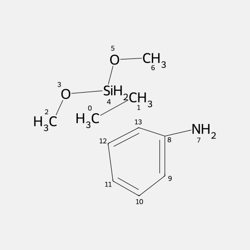 CC.CO[SiH2]OC.Nc1ccccc1